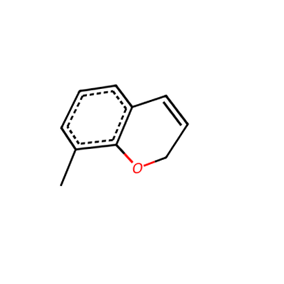 Cc1cccc2c1OCC=C2